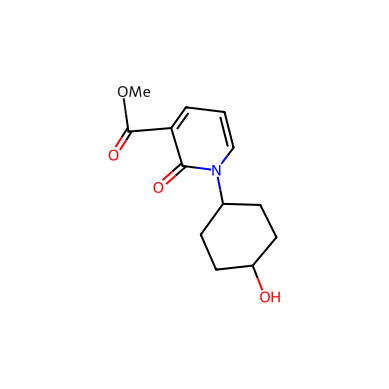 COC(=O)c1cccn(C2CCC(O)CC2)c1=O